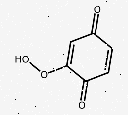 O=C1C=CC(=O)C(OO)=C1